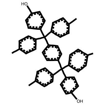 Cc1ccc(C(c2ccc(C)cc2)(c2ccc(O)cc2)c2ccc(C(c3ccc(C)cc3)(c3ccc(C)cc3)c3ccc(O)cc3)cc2)cc1